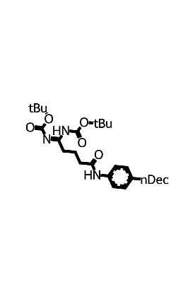 CCCCCCCCCCc1ccc(NC(=O)CCCC(=NC(=O)OC(C)(C)C)NC(=O)OC(C)(C)C)cc1